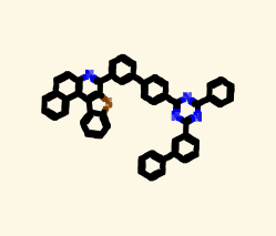 c1ccc(-c2cccc(-c3nc(-c4ccccc4)nc(-c4ccc(-c5cccc(-c6nc7ccc8ccccc8c7c7c6sc6ccccc67)c5)cc4)n3)c2)cc1